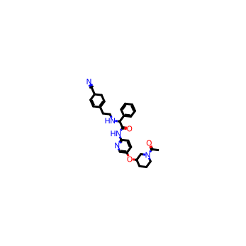 CC(=O)N1CCCC(Oc2ccc(NC(=O)C(NCCC3=CCC(C#N)C=C3)c3ccccc3)nc2)C1